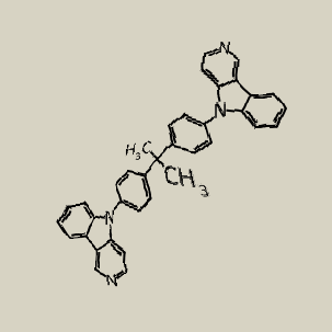 CC(C)(c1ccc(-n2c3ccccc3c3cnccc32)cc1)c1ccc(-n2c3ccccc3c3cnccc32)cc1